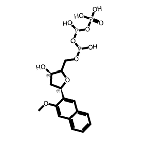 COc1cc2ccccc2cc1[C@H]1C[C@@H](O)C(COP(O)OP(O)OP(=O)(O)O)O1